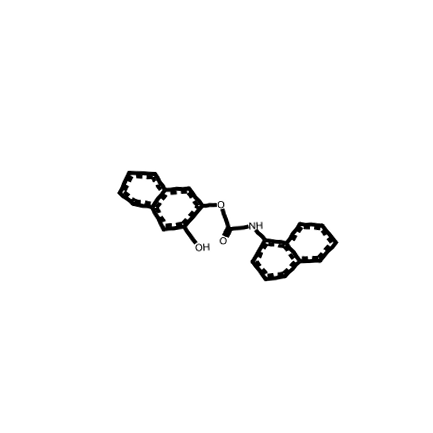 O=C(Nc1cccc2ccccc12)Oc1cc2ccccc2cc1O